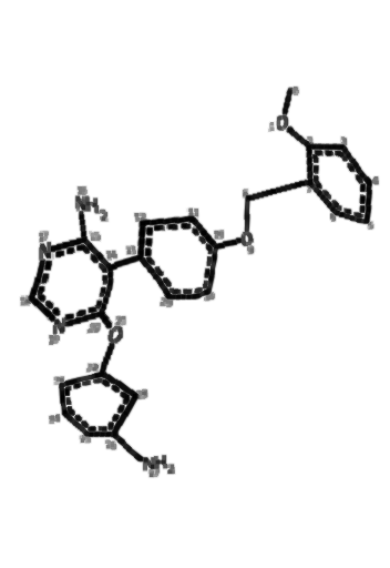 COc1ccccc1COc1ccc(-c2c(N)ncnc2Oc2cccc(N)c2)cc1